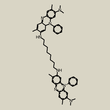 CC1=CC2=Nc3cc(C)c(N(C)C)cc3N(c3ccccc3)C2C=C1NCCCCCCCCNc1cc2c(cc1C)nc1cc(C)c(N(C)C)cc1[n+]2-c1ccccc1